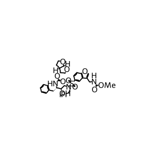 COC(=O)NCc1coc2ccc(S(=O)(=O)N(CC(C)C)C[C@@H](O)[C@H](Cc3ccccc3)NC(=O)OC3CO[C@H]4OCC[C@@H]34)cc12